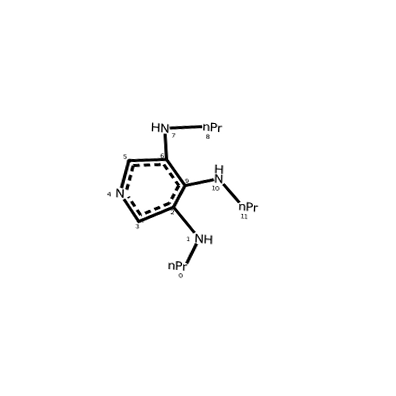 CCCNc1[c]ncc(NCCC)c1NCCC